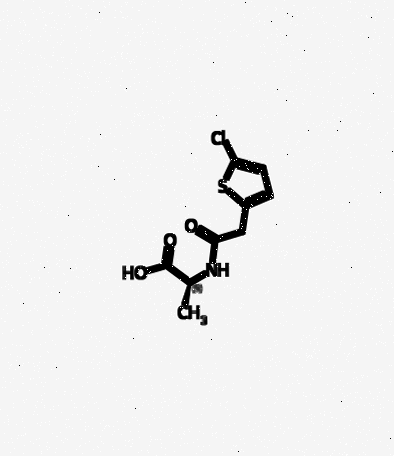 C[C@H](NC(=O)Cc1ccc(Cl)s1)C(=O)O